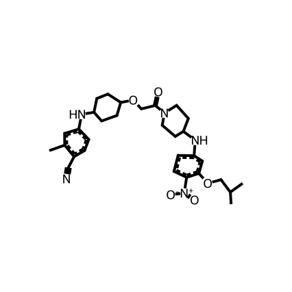 Cc1cc(NC2CCC(OCC(=O)N3CCC(Nc4ccc([N+](=O)[O-])c(OCC(C)C)c4)CC3)CC2)ccc1C#N